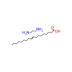 CCCCCCCCC=CCCCCCCCC(=O)O.NCCCN